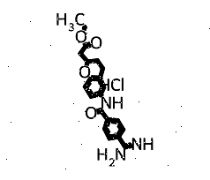 CCOC(=O)CC1CCc2cc(NC(=O)c3ccc(C(=N)N)cc3)ccc2O1.Cl